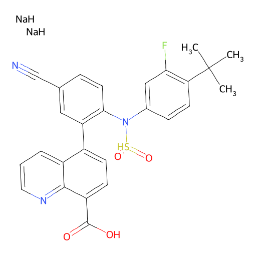 CC(C)(C)c1ccc(N(c2ccc(C#N)cc2-c2ccc(C(=O)O)c3ncccc23)[SH](=O)=O)cc1F.[NaH].[NaH]